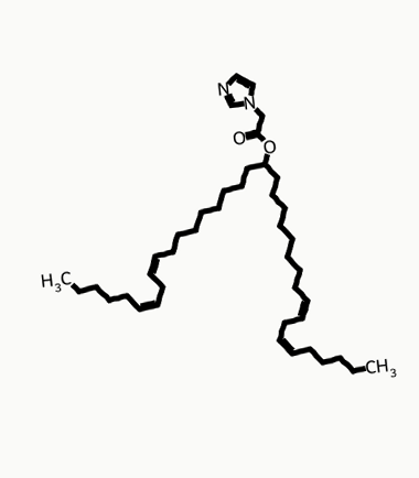 CCCCC/C=C\C/C=C\CCCCCCCCC(CCCCCCCC/C=C\C/C=C\CCCCC)OC(=O)Cn1ccnc1